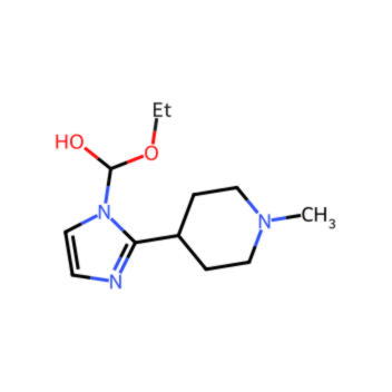 CCOC(O)n1ccnc1C1CCN(C)CC1